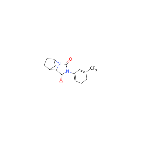 O=C1C2C3CCC(C3)N2C(=O)N1C1=CCCC(C(F)(F)F)=C1